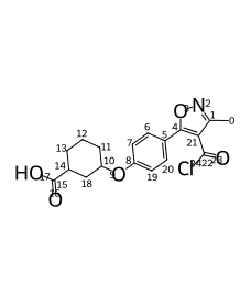 Cc1noc(-c2ccc(OC3CCCC(C(=O)O)C3)cc2)c1C(=O)Cl